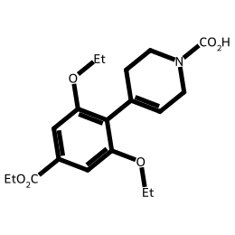 CCOC(=O)c1cc(OCC)c(C2=CCN(C(=O)O)CC2)c(OCC)c1